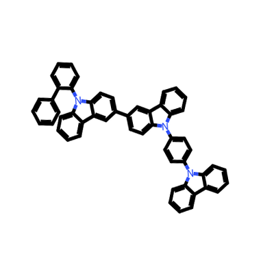 c1ccc(-c2ccccc2-n2c3ccccc3c3cc(-c4ccc5c(c4)c4ccccc4n5-c4ccc(-n5c6ccccc6c6ccccc65)cc4)ccc32)cc1